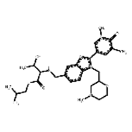 Cc1cc(-c2nc3cc(CNC(C(=O)OCC(C)C)C(C)O)ccc3n2CC2CN(C)CCO2)cn(C)c1=O